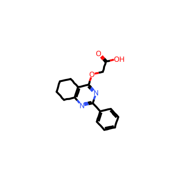 O=C(O)COc1nc(-c2ccccc2)nc2c1CCCC2